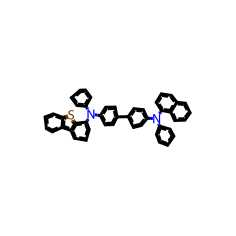 c1ccc(N(c2ccc(-c3ccc(N(c4ccccc4)c4cccc5c4sc4ccccc45)cc3)cc2)c2cccc3ccccc23)cc1